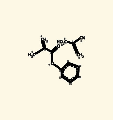 C=C(C#N)C(=O)O.C=C(C)C(=O)Oc1ccccc1